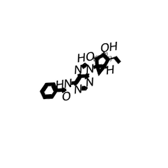 CC[C@@H]1[C@@H](O)[C@@H](O)C2(n3cnc4c(NC(=O)c5ccccc5)ncnc43)C[C@@H]12